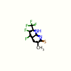 Cc1cc2c(F)c(F)c(C(F)(F)F)[nH]c-2nc1=S